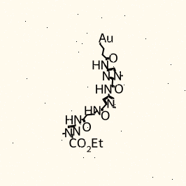 CCOC(=O)c1nc(NC(=O)CCNC(=O)c2cc(NC(=O)c3nc(NC(=O)CC[CH2][Au])cn3C)cn2C)cn1C